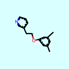 Cc1cc(C)cc(O[CH]Cc2cccnc2)c1